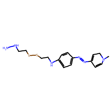 CN1C=CC(N=Nc2ccc(NCCSSCCNN)cc2)=CC1